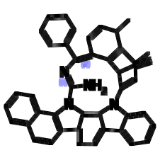 C#CC1C2=CC(C)C3=C1/C(=C(c1ccccc1)\N=C(/N)n1c4c5ccccc5ccc4c4ccc5c6ccccc6n2c5c41)C=CC3C